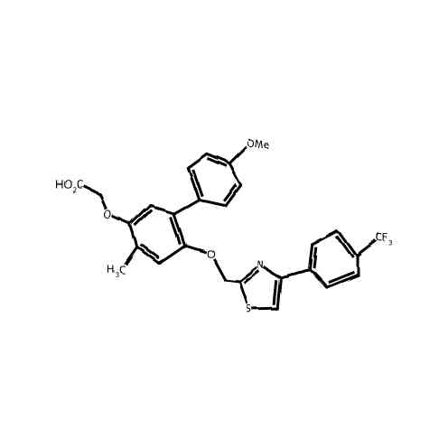 COc1ccc(-c2cc(OCC(=O)O)c(C)cc2OCc2nc(-c3ccc(C(F)(F)F)cc3)cs2)cc1